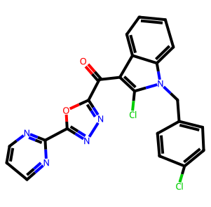 O=C(c1nnc(-c2ncccn2)o1)c1c(Cl)n(Cc2ccc(Cl)cc2)c2ccccc12